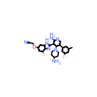 Cc1cc(F)cc(-c2cnc(N)c(-c3nc4c(F)cc(OCC#N)cc4[nH]3)c2N2CCC(N)CC2)c1